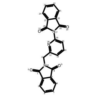 O=C1c2ccccc2C(=O)N1Cc1cccc(N2C(=O)c3ccccc3C2=O)n1